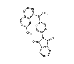 Cc1ccc2ccnc(N(C)c3ccc(N4C(=O)c5ccccc5C4=O)nn3)c2c1